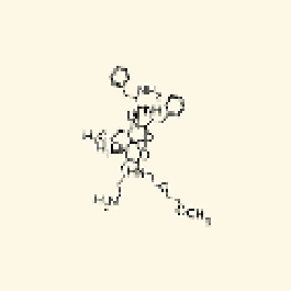 COCCOCCNC(=O)[C@@H](CCCCN)NC(=O)[C@@H](CC(C)C)NC(=O)[C@@H](Cc1ccccc1)NC(=O)[C@H](N)Cc1ccccc1